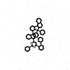 c1ccc(-c2nc(-c3ccccc3-c3ccccc3)cc(-c3ccc(-c4cccc5c4C(c4ccccc4)(c4ccccc4)c4ccc6ccccc6c4-5)c4ccccc34)n2)cc1